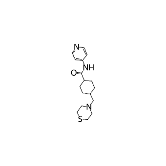 O=C(Nc1ccncc1)C1CCC(CN2CCSCC2)CC1